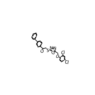 O=C(CSc1nnc(COc2ccc(Cl)cc2Cl)o1)c1ccc(-c2ccccc2)cc1